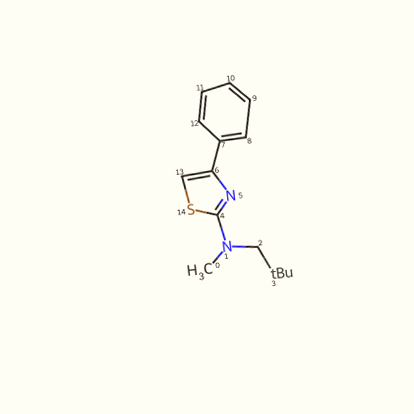 CN(CC(C)(C)C)c1nc(-c2ccccc2)cs1